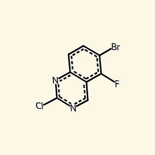 Fc1c(Br)ccc2nc(Cl)ncc12